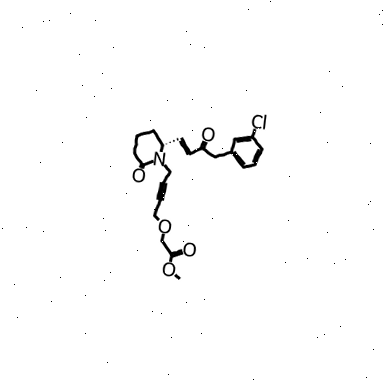 COC(=O)COCC#CCN1C(=O)CCC[C@@H]1/C=C/C(=O)Cc1cccc(Cl)c1